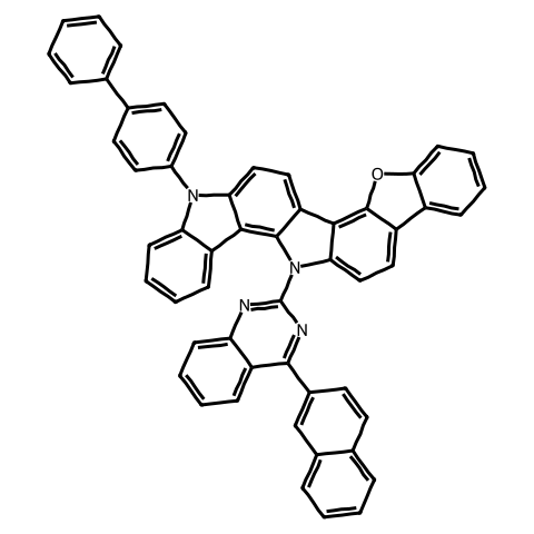 c1ccc(-c2ccc(-n3c4ccccc4c4c3ccc3c5c6oc7ccccc7c6ccc5n(-c5nc(-c6ccc7ccccc7c6)c6ccccc6n5)c34)cc2)cc1